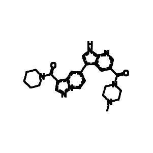 CN1CCN(C(=O)c2cnc3[nH]cc(-c4ccn5ncc(C(=O)N6CCCCC6)c5c4)c3c2)CC1